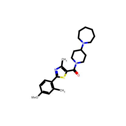 COc1ccc(-c2nc(C)c(C(=O)N3CCC(N4CCCCCC4)CC3)s2)c(C)c1